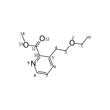 CCOCCc1cccnc1C(=O)OC